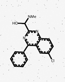 CNC(O)c1nc(-c2ccccc2)c2cc(Cl)ccc2n1